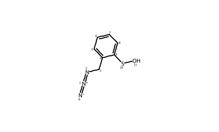 [N-]=[N+]=NCc1ccccc1SO